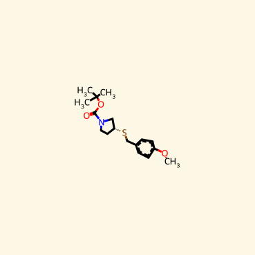 COc1ccc(CS[C@@H]2CCN(C(=O)OC(C)(C)C)C2)cc1